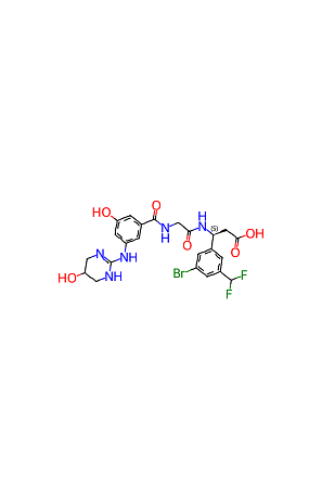 O=C(O)C[C@H](NC(=O)CNC(=O)c1cc(O)cc(NC2=NCC(O)CN2)c1)c1cc(Br)cc(C(F)F)c1